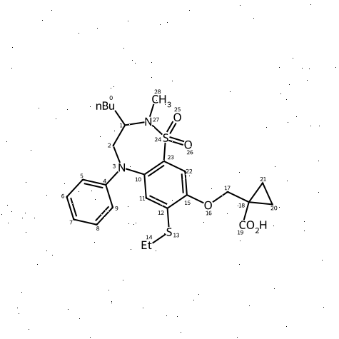 CCCCC1CN(c2ccccc2)c2cc(SCC)c(OCC3(C(=O)O)CC3)cc2S(=O)(=O)N1C